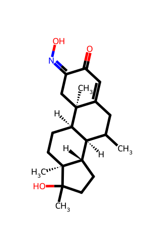 CC1CC2=CC(=O)C(=NO)C[C@]2(C)[C@@H]2CC[C@@]3(C)[C@@H](CCC3(C)O)[C@H]12